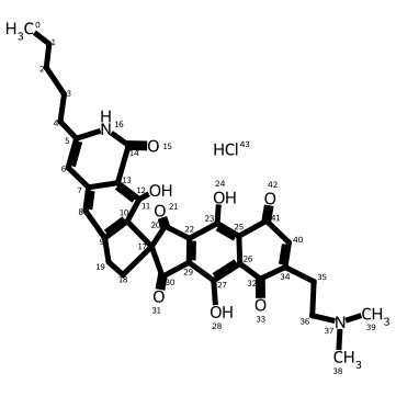 CCCCCc1cc2cc3c(c(O)c2c(=O)[nH]1)C1(CC3)C(=O)c2c(O)c3c(c(O)c2C1=O)C(=O)C(CCN(C)C)=CC3=O.Cl